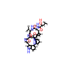 CC(C)C[C@H](O)C(=O)N[C@H]1Cc2ccc3c(c2)[C@]24c5cccc(c5NC2O3)-c2cccc3[nH]cc(c23)-c2cnc(o2)-c2nc(oc24)[C@H](C(C)C)NC1=O